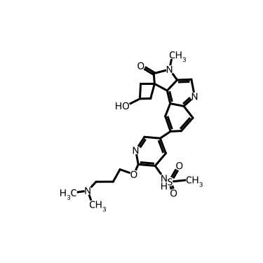 CN(C)CCCOc1ncc(-c2ccc3ncc4c(c3c2)C2(CC(O)C2)C(=O)N4C)cc1NS(C)(=O)=O